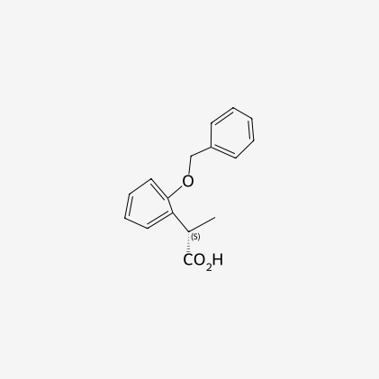 C[C@H](C(=O)O)c1ccccc1OCc1ccccc1